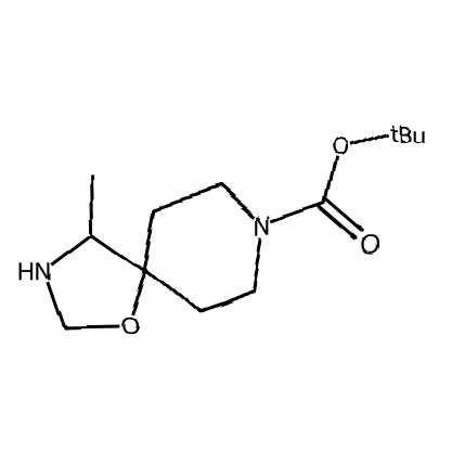 CC1NCOC12CCN(C(=O)OC(C)(C)C)CC2